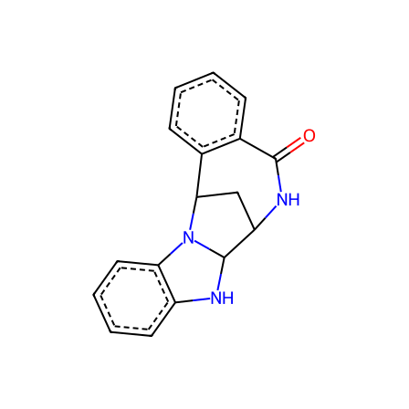 O=C1NC2CC(c3ccccc31)N1c3ccccc3NC21